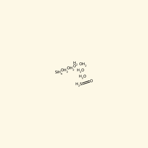 O.O.O.O.O.O.O=[SiH2].[SiH4]